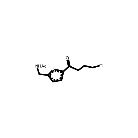 CC(=O)NCc1ccc(C(=O)CCCCl)s1